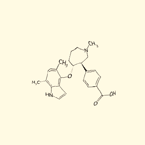 Cc1cc(C)c2[nH]ccc2c1O[C@@H]1CCCN(C)C[C@H]1c1ccc(C(=O)O)cc1